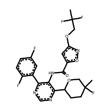 CC(F)(F)COc1cc(C(=O)Nc2c(-c3cc(F)ccc3F)ncnc2C2CCC(C)(F)CO2)on1